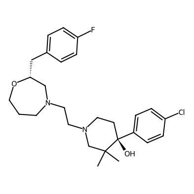 CC1(C)CN(CCN2CCCO[C@H](Cc3ccc(F)cc3)C2)CC[C@]1(O)c1ccc(Cl)cc1